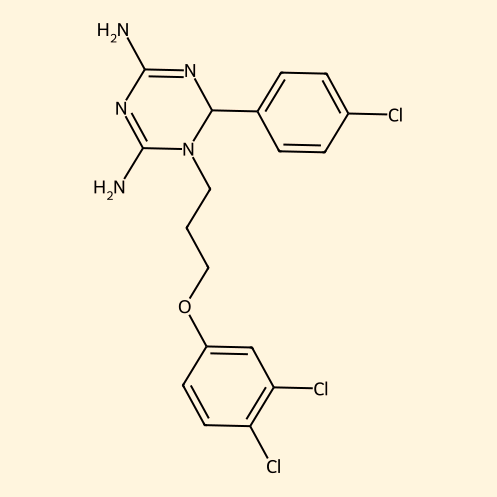 NC1=NC(c2ccc(Cl)cc2)N(CCCOc2ccc(Cl)c(Cl)c2)C(N)=N1